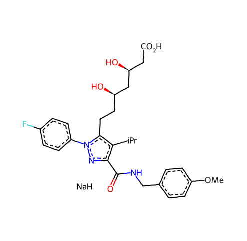 COc1ccc(CNC(=O)c2nn(-c3ccc(F)cc3)c(CC[C@@H](O)C[C@@H](O)CC(=O)O)c2C(C)C)cc1.[NaH]